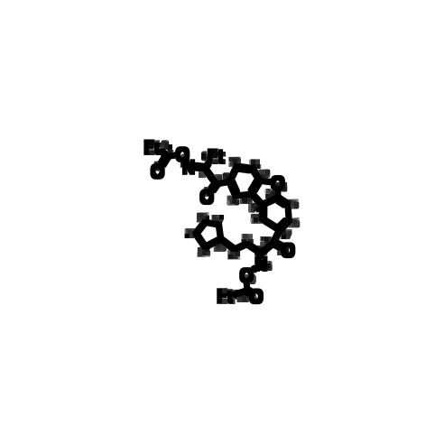 CCC(=O)O/N=C(\CC)C(=O)c1ccc2oc3ccc(C(=O)/C(CCC4CCCC4)=N/OC(=O)CC)cc3c2c1